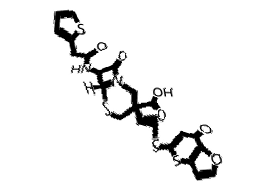 O=C(Cc1cccs1)NC1C(=O)N2CC(C=CSc3cc(=O)c4occc4s3)(C(=O)O)CS[C@H]12